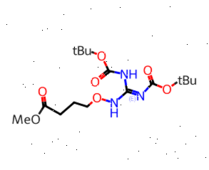 COC(=O)CCCON/C(=N/C(=O)OC(C)(C)C)NC(=O)OC(C)(C)C